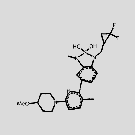 COC1CCN(c2ccc(C)c(-c3ccc4c(c3)N(C)S(O)(O)N4CC3CC3(F)F)n2)CC1